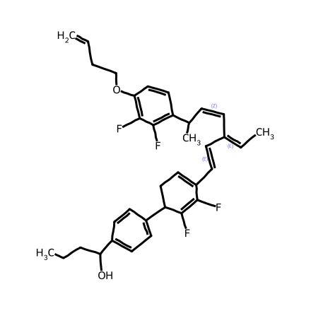 C=CCCOc1ccc(C(C)\C=C/C(/C=C/C2=CCC(c3ccc(C(O)CCC)cc3)C(F)=C2F)=C\C)c(F)c1F